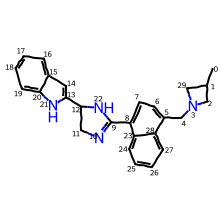 CC1CN(Cc2ccc(C3=NCC(c4cc5ccccc5[nH]4)N3)c3ccccc23)C1